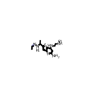 C/C=N\NC(C)c1cc2nc(N)cc(NCCNCC)c2s1